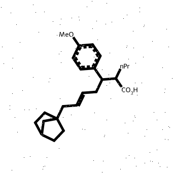 CCCC(C(=O)O)C(CC=CCC12CCC(CC1)C2)c1ccc(OC)cc1